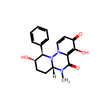 CN1C(=O)c2c(O)c(=O)ccn2N2[C@H](c3ccccc3)[C@H](O)CC[C@@H]12